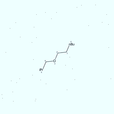 CCCCC[CH]OCC(C)C